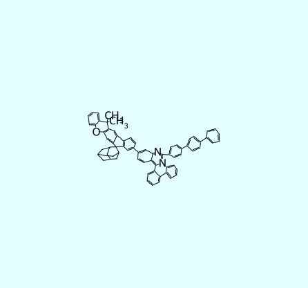 CC1(C)c2ccccc2Oc2cc3c(cc21)-c1ccc(-c2ccc4c(-c5ccccc5-c5ccccc5)nc(-c5ccc(-c6ccc(-c7ccccc7)cc6)cc5)nc4c2)cc1C31C2CC3CC(C2)CC1C3